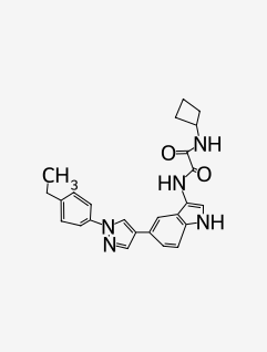 CCc1ccc(-n2cc(-c3ccc4[nH]cc(NC(=O)C(=O)NC5CCC5)c4c3)cn2)cc1